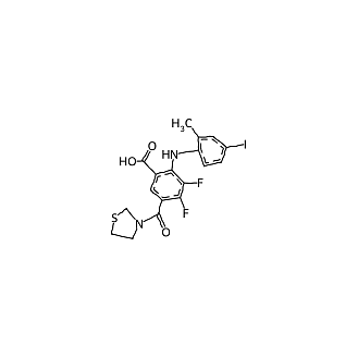 Cc1cc(I)ccc1Nc1c(C(=O)O)cc(C(=O)N2CCSC2)c(F)c1F